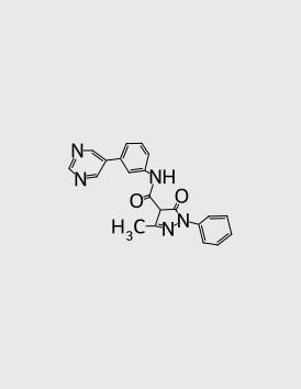 CC1=NN(c2ccccc2)C(=O)C1C(=O)Nc1cccc(-c2cncnc2)c1